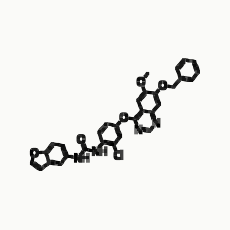 COc1cc2c(Oc3ccc(NC(=O)Nc4ccc5occc5c4)c(Cl)c3)ncnc2cc1OCc1ccccc1